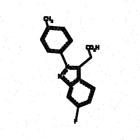 Cc1ccc(-n2nc3cc(F)ccc3c2CC(=O)O)cc1